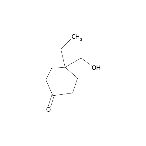 CCC1(CO)CCC(=O)CC1